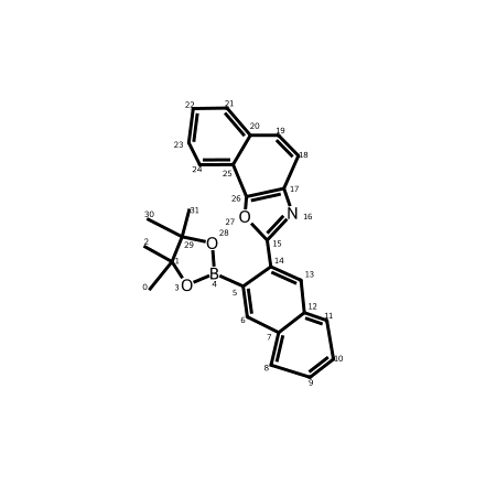 CC1(C)OB(c2cc3ccccc3cc2-c2nc3ccc4ccccc4c3o2)OC1(C)C